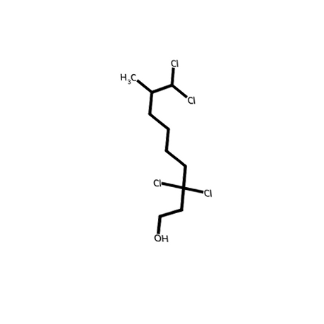 CC(CCCCC(Cl)(Cl)CCO)C(Cl)Cl